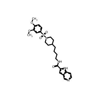 COc1ccc(S(=O)(=O)N2CCC(CCCCNC(=O)c3cc4cnccc4[nH]3)CC2)cc1OC